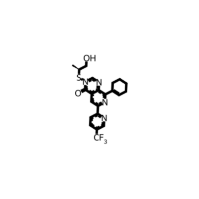 C[C@@H](CO)Sn1cnc2c(C3=CCCCC3)nc(-c3ccc(C(F)(F)F)cn3)cc2c1=O